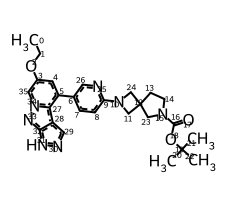 CCOc1cc(-c2ccc(N3CC4(CCN(C(=O)OC(C)(C)C)C4)C3)nc2)c2c3cn[nH]c3nn2c1